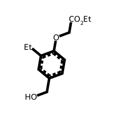 CCOC(=O)COc1ccc(CO)cc1CC